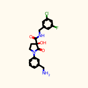 NCc1cccc(N2CCC(O)(C(=O)NCc3cc(F)cc(Cl)c3)C2=O)c1